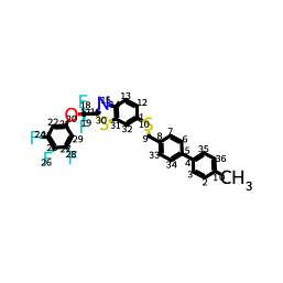 Cc1ccc(-c2ccc(CSc3ccc4nc(C(F)(F)Oc5cc(F)c(F)c(F)c5)sc4c3)cc2)cc1